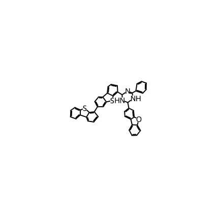 c1ccc(C2=NC(c3cccc4c3sc3cc(-c5cccc6c5sc5ccccc56)ccc34)NC(c3ccc4c(c3)oc3ccccc34)N2)cc1